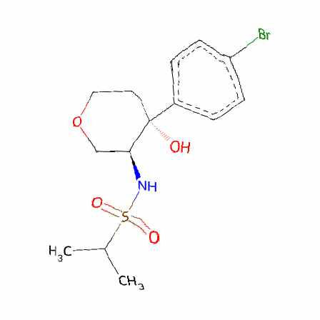 CC(C)S(=O)(=O)N[C@H]1COCC[C@@]1(O)c1ccc(Br)cc1